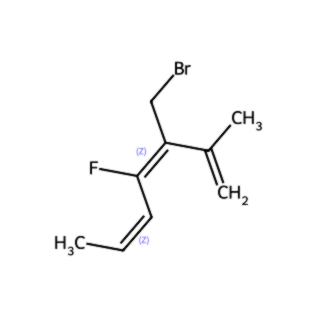 C=C(C)/C(CBr)=C(F)\C=C/C